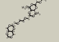 COCCOC[C@H]1OCC(O[C@@H](COCCOC[C@H]2OCC3OCOCC3O2)OC)C(C)O1